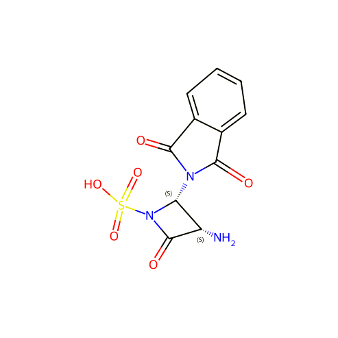 N[C@@H]1C(=O)N(S(=O)(=O)O)[C@@H]1N1C(=O)c2ccccc2C1=O